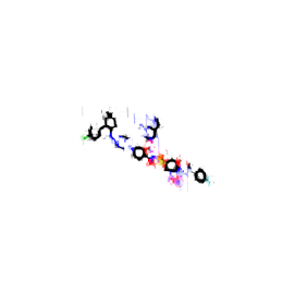 CC1(C)CCC(CN2CCN(c3ccc(C(=O)NS(=O)(=O)c4cc5c(c([N+](=O)[O-])c4)N[C@@H](c4ccc(F)cc4)CO5)c(Oc4cnc5[nH]ccc5c4)c3)CC2)=C(c2ccc(Cl)cc2)C1